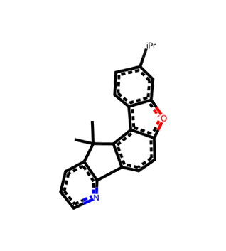 CC(C)c1ccc2c(c1)oc1ccc3c(c12)C(C)(C)c1cccnc1-3